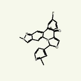 Cc1cc(C2OC=C(C(N)=O)N2c2cc3cn(C)nc3cc2-c2cccc(F)c2)ccn1